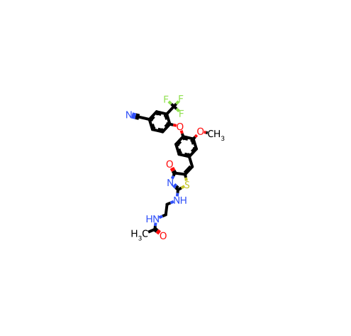 COc1cc(/C=C2/SC(NCCNC(C)=O)=NC2=O)ccc1Oc1ccc(C#N)cc1C(F)(F)F